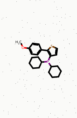 COc1ccc(-c2sccc2P(C2CCCCC2)C2CCCCC2)cc1